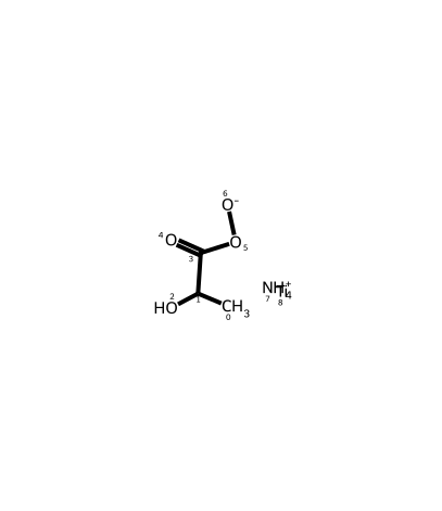 CC(O)C(=O)O[O-].[NH4+].[Ti]